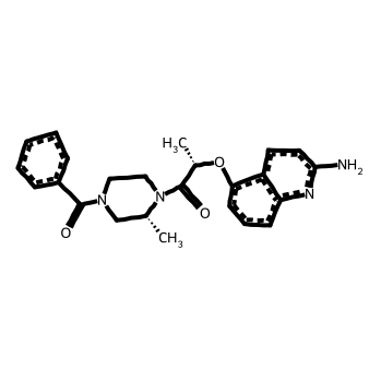 C[C@H](Oc1cccc2nc(N)ccc12)C(=O)N1CCN(C(=O)c2ccccc2)C[C@H]1C